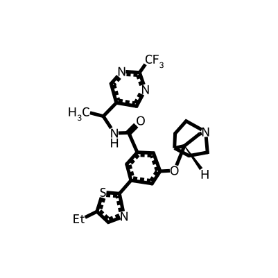 CCc1cnc(-c2cc(O[C@H]3CN4CCC3CC4)cc(C(=O)NC(C)c3cnc(C(F)(F)F)nc3)c2)s1